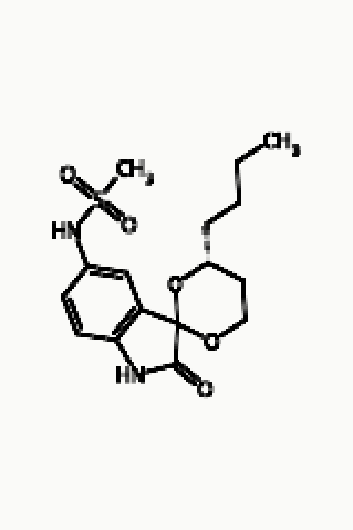 CCCC[C@@H]1CCOC2(O1)C(=O)Nc1ccc(NS(C)(=O)=O)cc12